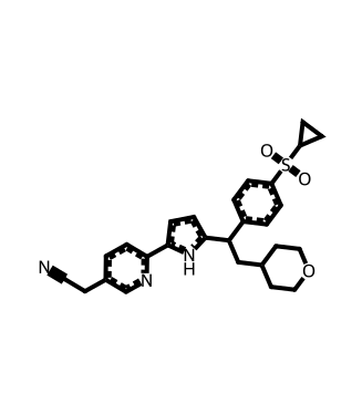 N#CCc1ccc(-c2ccc(C(CC3CCOCC3)c3ccc(S(=O)(=O)C4CC4)cc3)[nH]2)nc1